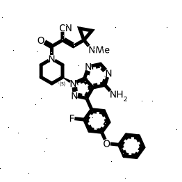 CNC1(C=C(C#N)C(=O)N2CCC[C@H](n3nc(-c4ccc(Oc5ccccc5)cc4F)c4c(N)ncnc43)C2)CC1